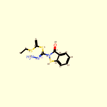 C=C(SCC)S/C(=N\N)n1sc2ccccc2c1=O